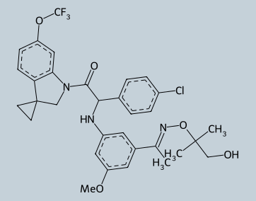 COc1cc(NC(C(=O)N2CC3(CC3)c3ccc(OC(F)(F)F)cc32)c2ccc(Cl)cc2)cc(C(C)=NOC(C)(C)CO)c1